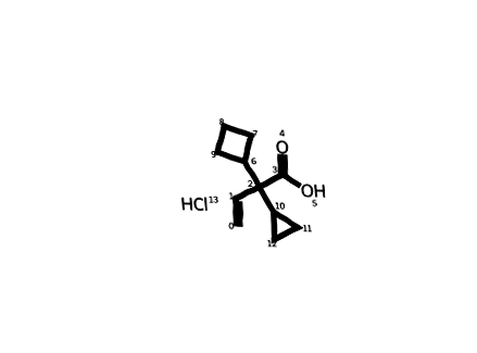 C=CC(C(=O)O)(C1CCC1)C1CC1.Cl